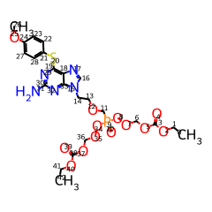 CCOC(=O)OCOOP(=O)(COCCn1cnc2c(Sc3ccc(OC)cc3)nc(N)nc21)OOCOC(=O)OCC